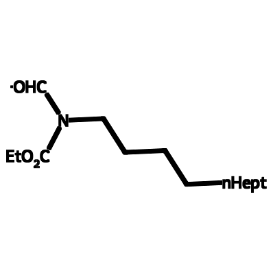 CCCCCCCCCCCN([C]=O)C(=O)OCC